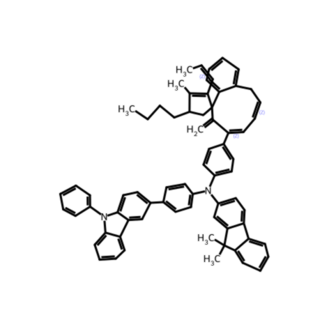 C=C1/C(c2ccc(N(c3ccc(-c4ccc5c(c4)c4ccccc4n5-c4ccccc4)cc3)c3ccc4c(c3)C(C)(C)c3ccccc3-4)cc2)=C\C=C/Cc2ccccc2C12CC(CCCC)C(C)=C2/C=C\C